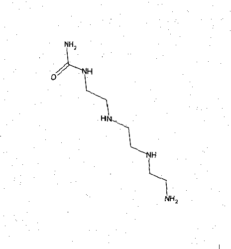 NCCNCCNCCNC(N)=O